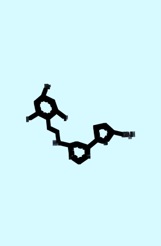 O=C(O)c1ccc(-c2cc(NCCc3c(F)cc(Br)cc3F)ncn2)s1